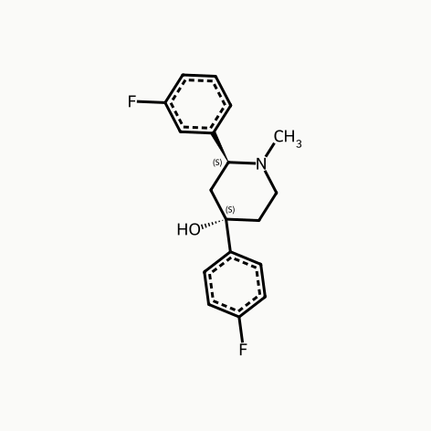 CN1CC[C@@](O)(c2ccc(F)cc2)C[C@H]1c1cccc(F)c1